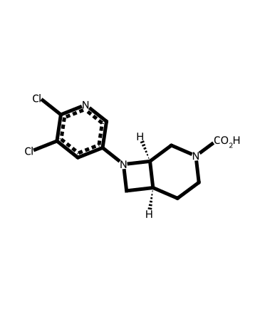 O=C(O)N1CC[C@H]2CN(c3cnc(Cl)c(Cl)c3)[C@H]2C1